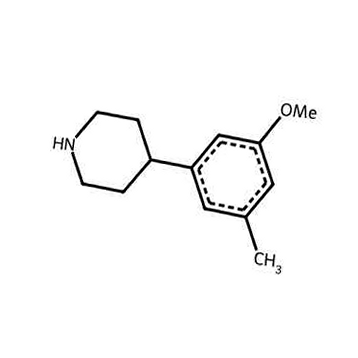 COc1cc(C)cc(C2CCNCC2)c1